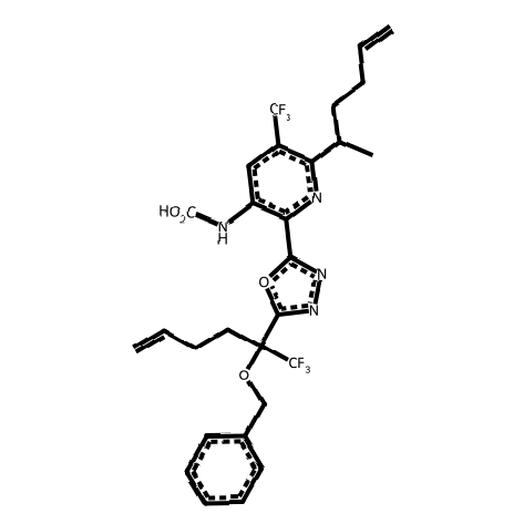 C=CCCC(C)c1nc(-c2nnc(C(CCC=C)(OCc3ccccc3)C(F)(F)F)o2)c(NC(=O)O)cc1C(F)(F)F